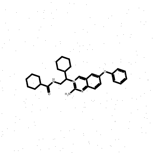 Nc1nc2ccc(Oc3ccccc3)cc2c[n+]1C(CNC(=O)C1CCCCC1)C1CCCCC1